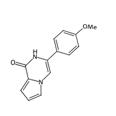 COc1ccc(-c2cn3cccc3c(=O)[nH]2)cc1